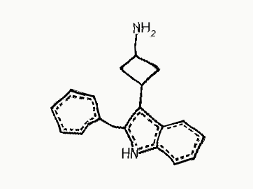 NC1CC(c2c(-c3ccccc3)[nH]c3ccccc23)C1